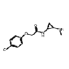 CNC1CC1NC(=O)COc1ccc(Cl)cc1